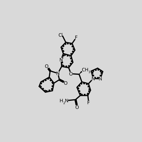 C[C@H](Oc1cc2cc(F)c(Cl)cc2nc1N1C(=O)c2ccccc2C1=O)c1cc(C(N)=O)c(F)cc1-n1cccn1